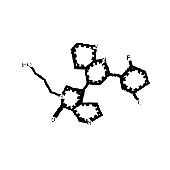 O=c1c2cnccc2c(-c2cc(-c3cc(Cl)ccc3F)nc3ncccc23)cn1CCCO